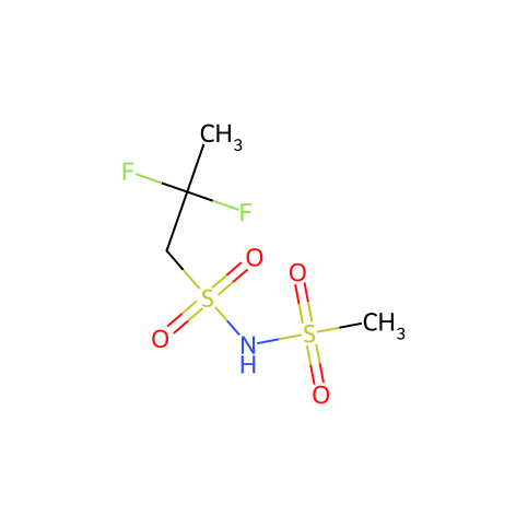 CC(F)(F)CS(=O)(=O)NS(C)(=O)=O